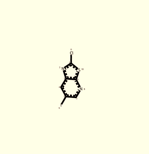 Clc1nc2cc(I)cnc2s1